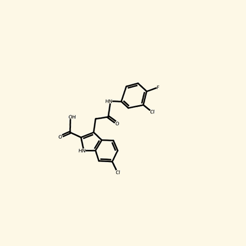 O=C(Cc1c(C(=O)O)[nH]c2cc(Cl)ccc12)Nc1ccc(F)c(Cl)c1